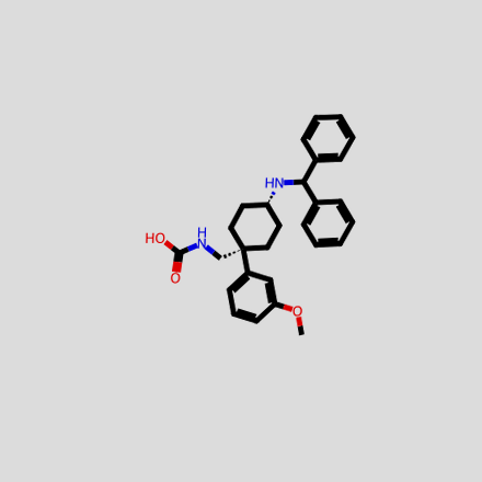 COc1cccc([C@]2(CNC(=O)O)CC[C@@H](NC(c3ccccc3)c3ccccc3)CC2)c1